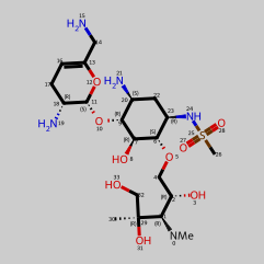 CN[C@H]([C@@H](O)CO[C@@H]1[C@@H](O)[C@H](O[C@H]2OC(CN)=CC[C@H]2N)[C@@H](N)C[C@H]1NS(C)(=O)=O)[C@@](C)(O)CO